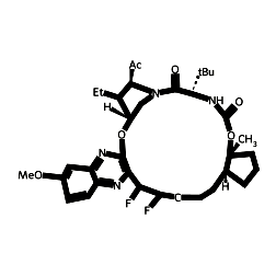 CCC1[C@@H]2CN(C(=O)[C@H](C(C)(C)C)NC(=O)O[C@]3(C)CCC[C@H]3CCCC(F)C(F)c3nc4ccc(OC)cc4nc3O2)[C@@H]1C(C)=O